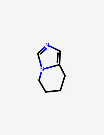 [C]1CC[C]n2cncc21